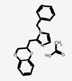 CC(=O)O.c1ccc(Cn2ccnc2CC2COc3ccccc3O2)cc1